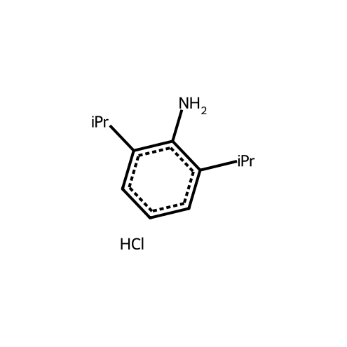 CC(C)c1cccc(C(C)C)c1N.Cl